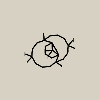 CC1(I)CCCC2(C)CCC(C)(I)CCCC(C)(CC1)C13CCCCC2(CCC1)C3(I)I